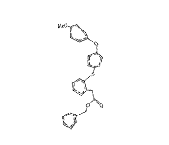 COc1ccc(Oc2ccc(Sc3ccccc3CC(=O)OCc3ccccc3)cc2)cc1